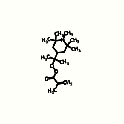 C=C(C)C(=O)OOC(C)(C)C1CC(C)(C)N(C)C(C)(C)C1